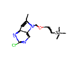 Cc1cc2nc(Cl)ncc2n1COCC[Si](C)(C)C